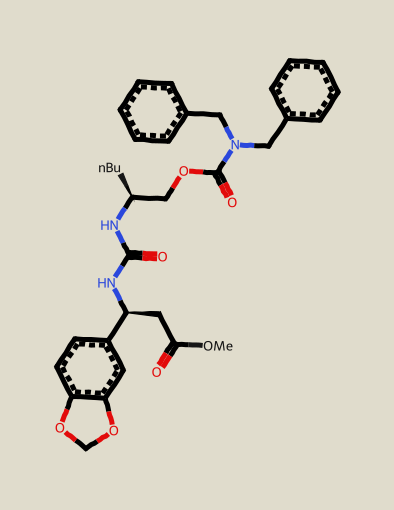 CCCC[C@@H](COC(=O)N(Cc1ccccc1)Cc1ccccc1)NC(=O)N[C@@H](CC(=O)OC)c1ccc2c(c1)OCO2